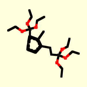 CCO[Si](CCc1cccc([Si](OCC)(OCC)OCC)c1C)(OCC)OCC